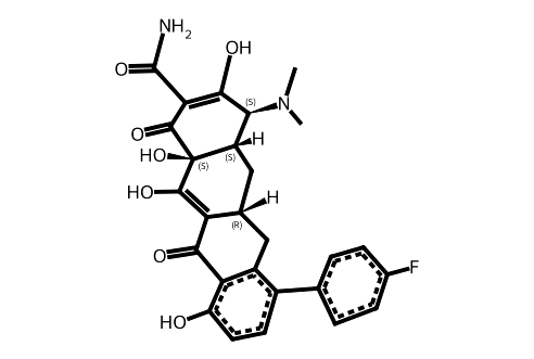 CN(C)[C@@H]1C(O)=C(C(N)=O)C(=O)[C@@]2(O)C(O)=C3C(=O)c4c(O)ccc(-c5ccc(F)cc5)c4C[C@H]3C[C@@H]12